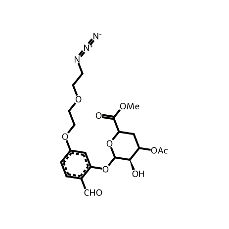 COC(=O)C1CC(OC(C)=O)[C@@H](O)C(Oc2cc(OCCOCCN=[N+]=[N-])ccc2C=O)O1